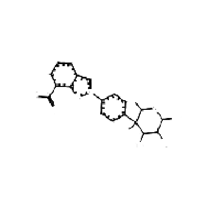 [2H]C1NC([2H])C([2H])(c2ccc(-n3cc4cccc(C(N)=O)c4n3)cc2)C([2H])C1[2H]